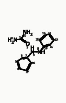 NC(N)=O.c1ccc(NNc2ccccc2)cc1